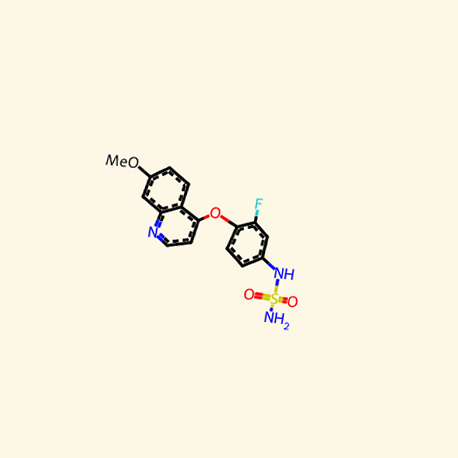 COc1ccc2c(Oc3ccc(NS(N)(=O)=O)cc3F)ccnc2c1